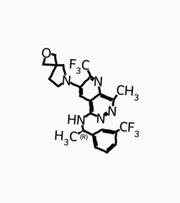 Cc1nnc(N[C@H](C)c2cccc(C(F)(F)F)c2)c2cc(N3CCC4(COC4)C3)c(C(F)(F)F)nc12